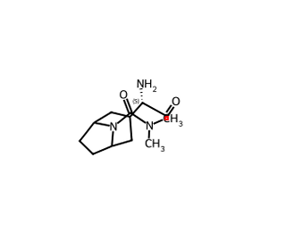 CN(C)C(=O)N1C2CCC1CC([C@H](N)C=O)C2